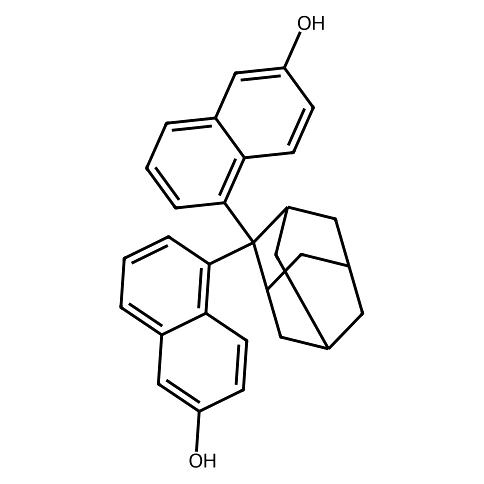 Oc1ccc2c(C3(c4cccc5cc(O)ccc45)C4CC5CC(C4)CC3C5)cccc2c1